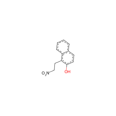 O=[N+]([O-])CCc1c(O)ccc2ccccc12